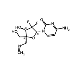 C=NC[C@]1(CO)O[C@@H](n2ccc(N)nc2=O)C(F)(F)[C@@H]1O